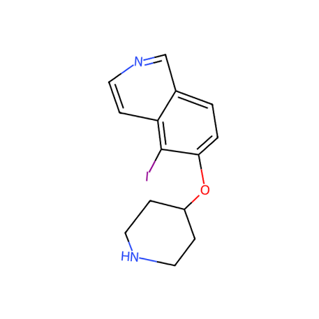 Ic1c(OC2CCNCC2)ccc2cnccc12